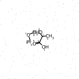 CC(C)C(=O)O.CC(C)OC=O